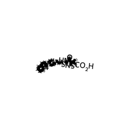 Cc1c(C(=O)O)sc2nc(SCCCN3CCN(c4ccc5ccccc5n4)CC3)[nH]c(=O)c12